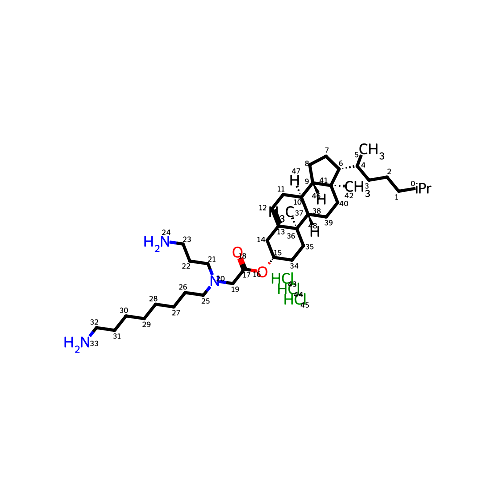 CC(C)CCCC(C)[C@H]1CC[C@H]2[C@@H]3CC=C4C[C@@H](OC(=O)CN(CCCN)CCCCCCCCN)CC[C@]4(C)[C@H]3CC[C@]12C.Cl.Cl.Cl